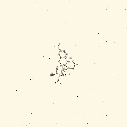 CC(C)c1ccc2c(c1)CC[C@H]1[C@](C)(C(=O)N[C@H](C(=O)O)C(C)C)CCC[C@]21C